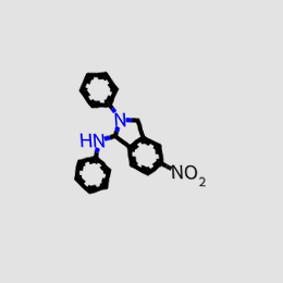 O=[N+]([O-])c1ccc2c(c1)CN(c1ccccc1)C2Nc1ccccc1